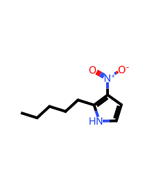 CCCCCc1[nH]ccc1[N+](=O)[O-]